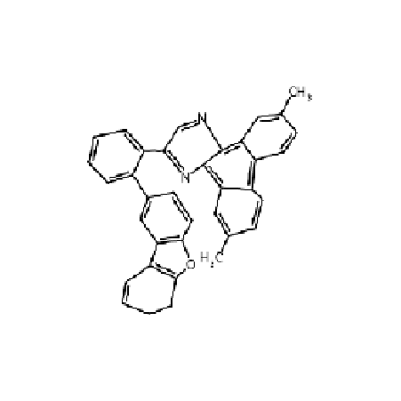 Cc1ccc2c3ccc(C)cc3c3nc(-c4ccccc4-c4ccc5oc6c(c5c4)C=CCC6)cnc3c2c1